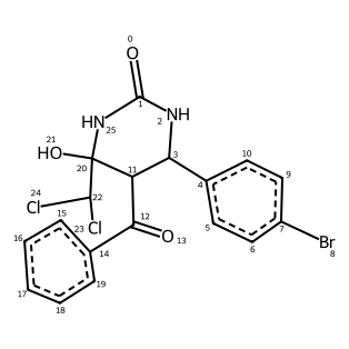 O=C1NC(c2ccc(Br)cc2)C(C(=O)c2ccccc2)C(O)(C(Cl)Cl)N1